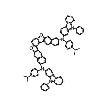 CC(C)c1ccc(N(c2ccc3cc4c(cc3c2)oc2ccc3oc5cc6cc(N(c7ccc(C(C)C)cc7)c7ccc8c9ccccc9n(-c9ccccc9)c8c7)ccc6cc5c3c24)c2ccc3c4ccccc4n(-c4ccccc4)c3c2)cc1